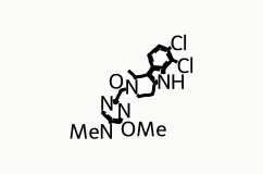 CNc1cnc(C(=O)N2CCc3[nH]c4c(Cl)c(Cl)ccc4c3C2C)nc1OC